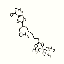 CCC(CCCCCC(=O)OC(C)(C)C)c1ncc(C(C)=O)s1